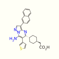 Nc1c(-c2ccsc2)c([C@H]2CC[C@H](CC(=O)O)CC2)nc2c(-c3ccc4ccccc4c3)cnn12